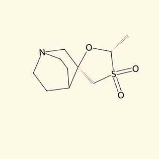 C[C@H]1O[C@@]2(CN3CCC2CC3)CS1(=O)=O